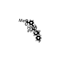 COC(=O)c1cccc(C(=O)N[C@@H](C(=O)N2CC[C@@H](c3ccc(F)cc3)C(C)(C)C2)C(C)C)c1